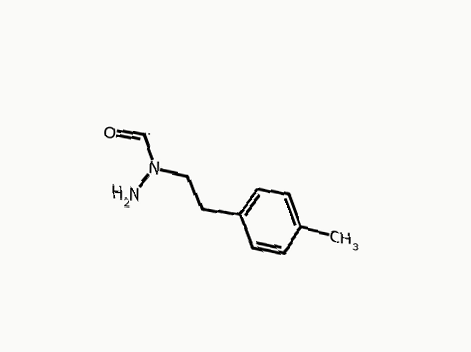 Cc1ccc(CCN(N)[C]=O)cc1